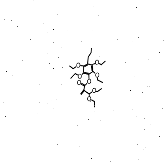 C=C(C(=O)Oc1c(OCC)c(OCC)c(CCC)c(OCC)c1OCC)C(OCC)OCC